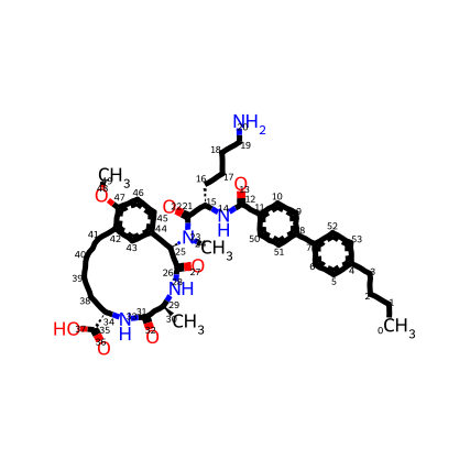 CCCCc1ccc(-c2ccc(C(=O)N[C@@H](CCCCN)C(=O)N(C)[C@@H]3C(=O)N[C@@H](C)C(=O)N[C@H](C(=O)O)CCCCc4cc3ccc4OC)cc2)cc1